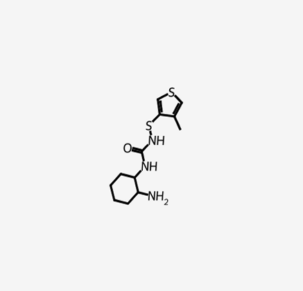 Cc1cscc1SNC(=O)NC1CCCCC1N